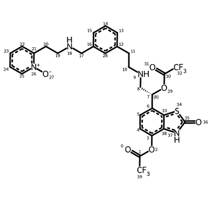 O=C(Oc1ccc([C@H](CNCCc2cccc(CNCCc3cccc[n+]3[O-])c2)OC(=O)C(F)(F)F)c2sc(=O)[nH]c12)C(F)(F)F